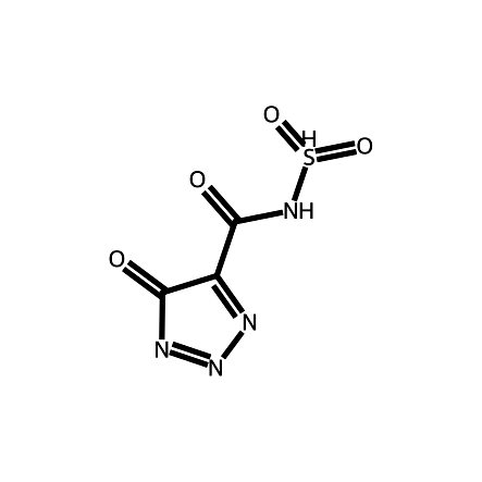 O=C1N=NN=C1C(=O)N[SH](=O)=O